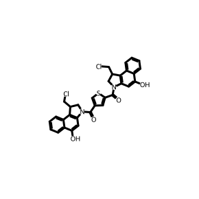 O=C(c1csc(C(=O)N2CC(CCl)c3c2cc(O)c2ccccc32)c1)N1CC(CCl)c2c1cc(O)c1ccccc21